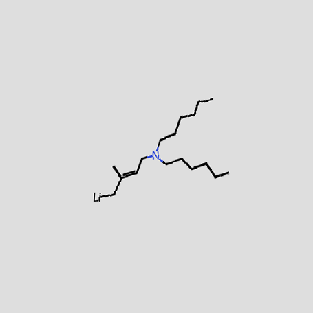 [Li][CH2]/C(C)=C/CN(CCCCCC)CCCCCC